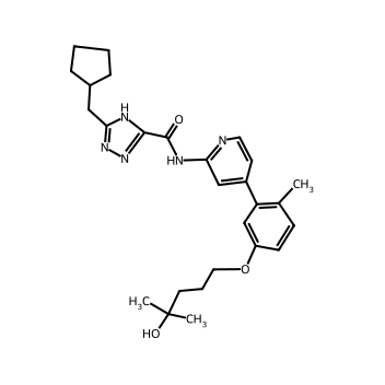 Cc1ccc(OCCCC(C)(C)O)cc1-c1ccnc(NC(=O)c2nnc(CC3CCCC3)[nH]2)c1